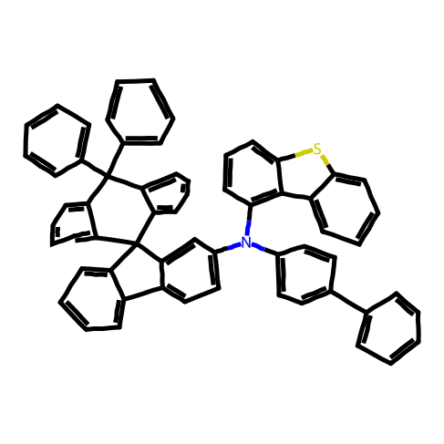 c1ccc(-c2ccc(N(c3ccc4c(c3)C3(c5ccccc5-4)c4ccccc4C(c4ccccc4)(c4ccccc4)c4ccccc43)c3cccc4sc5ccccc5c34)cc2)cc1